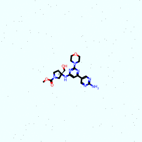 COC(=O)N1CC[C@](CO)(Nc2cc(-c3cnc(N)nc3)nc(N3CCOCC3)n2)C1